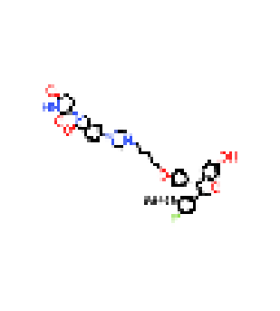 COc1cc(C2COc3cc(O)ccc3[C@H]2c2ccc(OCCCCCN3CCN(c4ccc5c(c4)CN(C4CCC(=O)NC4=O)C5=O)CC3)cc2)ccc1F